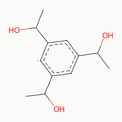 CC(O)c1[c]c(C(C)O)cc(C(C)O)c1